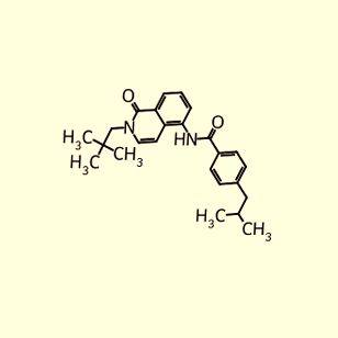 CC(C)Cc1ccc(C(=O)Nc2cccc3c(=O)n(CC(C)(C)C)ccc23)cc1